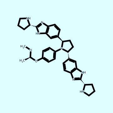 CO[C@H](C)Oc1ccc(N2[C@@H](c3ccc4nc([C@@H]5CCCN5)[nH]c4c3)CC[C@@H]2c2ccc3nc([C@@H]4CCCN4)[nH]c3c2)cc1